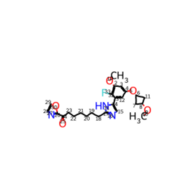 COc1cc(O[C@H]2C[C@H](OC)C2)cc(-c2cnc(CCCCCCC(=O)c3ncco3)[nH]2)c1F